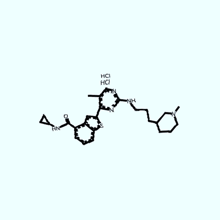 Cc1cnc(NCCCC2CCCN(C)C2)nc1-c1cc2c(C(=O)NC3CC3)cccc2s1.Cl.Cl